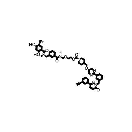 C#Cc1cccc(-c2ccc(=O)n(Cc3cccc(-c4ncc(OCC5CCN(C(=O)OCCOCNC(=O)c6cccc(CN(C)C(=O)c7cc(C(C)C)c(O)cc7O)c6)CC5)cn4)c3)n2)c1